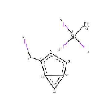 CC[Si](I)(I)I.ICc1ccc2cc1-2